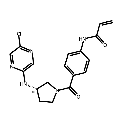 C=CC(=O)Nc1ccc(C(=O)N2CC[C@H](Nc3cnc(Cl)cn3)C2)cc1